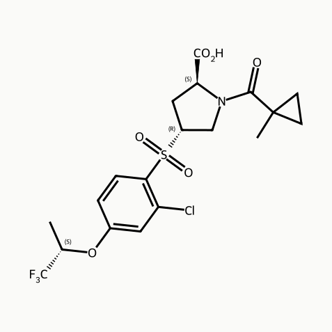 C[C@H](Oc1ccc(S(=O)(=O)[C@@H]2C[C@@H](C(=O)O)N(C(=O)C3(C)CC3)C2)c(Cl)c1)C(F)(F)F